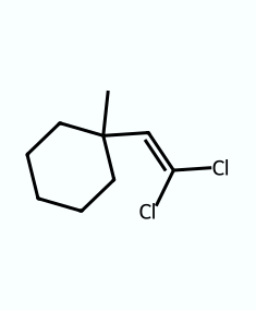 CC1(C=C(Cl)Cl)CCCCC1